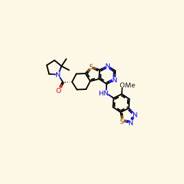 COc1cc2nnsc2cc1Nc1ncnc2sc3c(c12)CC[C@H](C(=O)N1CCCC1(C)C)C3